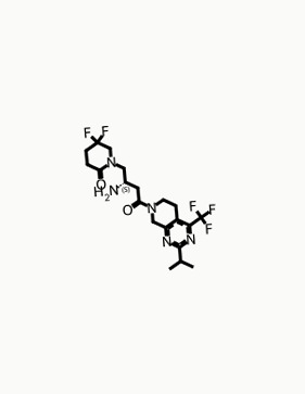 CC(C)c1nc2c(c(C(F)(F)F)n1)CCN(C(=O)C[C@H](N)CN1CC(F)(F)CCC1=O)C2